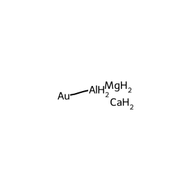 [AlH2][Au].[CaH2].[MgH2]